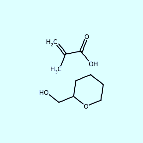 C=C(C)C(=O)O.OCC1CCCCO1